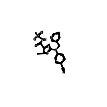 Cc1sc(N(Cc2cccnc2)c2ccc(C#N)cc2)nc1C(=O)NS(C)(=O)=O